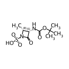 C[C@@H]1[C@H](NC(=O)OC(C)(C)C)C(=O)N1S(=O)(=O)O